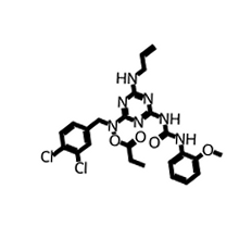 C=CCNc1nc(NC(=O)Nc2ccccc2OC)nc(N(Cc2ccc(Cl)c(Cl)c2)OC(=O)CC)n1